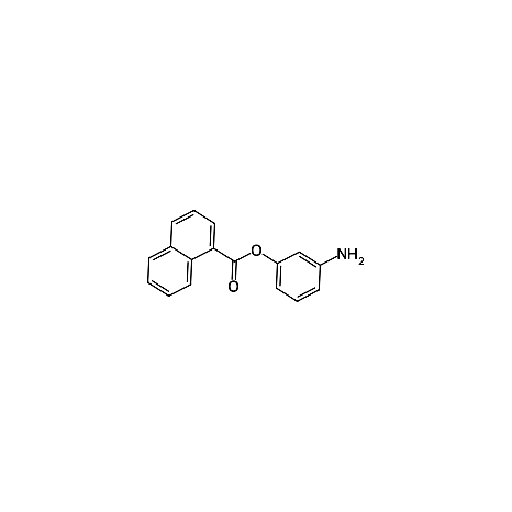 Nc1cccc(OC(=O)c2cccc3ccccc23)c1